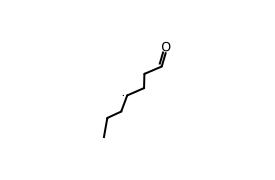 CCC[CH]CCC=O